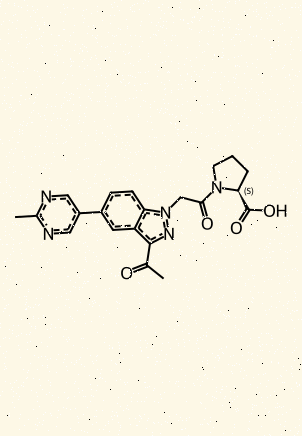 CC(=O)c1nn(CC(=O)N2CCC[C@H]2C(=O)O)c2ccc(-c3cnc(C)nc3)cc12